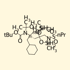 CCCS(=O)(=O)NCC(C[C@@]1(CC2CCCCC2)[C@H](O[SiH2]C)OC(C)(C)N1C(=O)OC(C)(C)C)(O[SiH2]C)O[SiH2]C